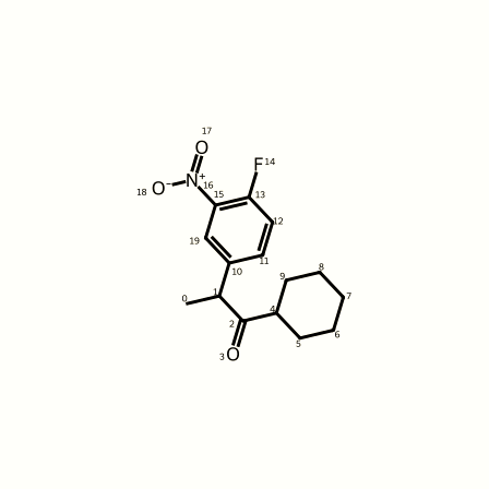 CC(C(=O)C1CCCCC1)c1ccc(F)c([N+](=O)[O-])c1